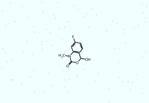 CN1C(=O)OC(O)c2ccc(F)cc21